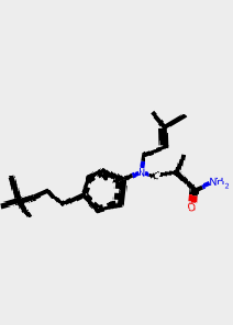 C[C](CN(CC=C(C)C)c1ccc(CCC(C)(C)C)cc1)C(N)=O